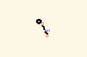 [O]CCNCCCOc1ccccc1